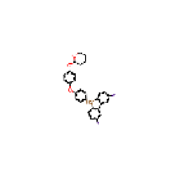 Ic1ccc2c(c1)-c1cc(I)ccc1[SH]2c1ccc(Oc2ccc(OC3CCCCO3)cc2)cc1